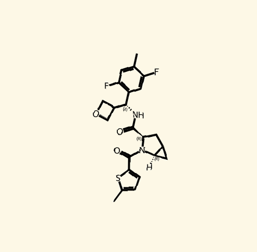 Cc1ccc(C(=O)N2[C@@H](C(=O)N[C@@H](c3cc(F)c(C)cc3F)C3COC3)CC3C[C@H]32)s1